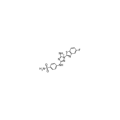 Nc1nc(Nc2ccc(S(N)(=O)=O)cc2)nn1-c1nc2cc(F)ccc2s1